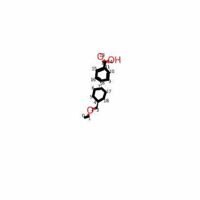 CCOC[C@H]1CC[C@H](c2ccc(C(=O)O)cc2)CC1